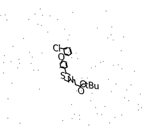 CC(C)(C)OC(=O)CCN1CCSC(c2ccc(Oc3ccccc3Cl)cc2)C1